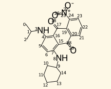 CC(C)Nc1ccc(NC2CCCCC2)c2c1C(=O)c1c(cccc1[N+](=O)[O-])C2=O